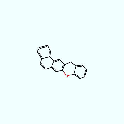 c1ccc2c(c1)Cc1cc3c(ccc4ccccc43)cc1O2